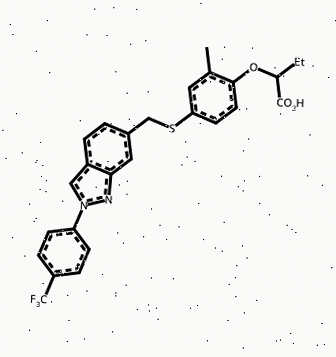 CCC(Oc1ccc(SCc2ccc3cn(-c4ccc(C(F)(F)F)cc4)nc3c2)cc1C)C(=O)O